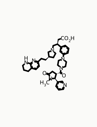 CN1C(=O)C[C@H](C(=O)N2CCN(c3cccc([C@H](CC(=O)O)CN4CC[C@@H](CCc5ccc6c(n5)NCCC6)C4)c3)CC2)[C@H]1c1cccnc1